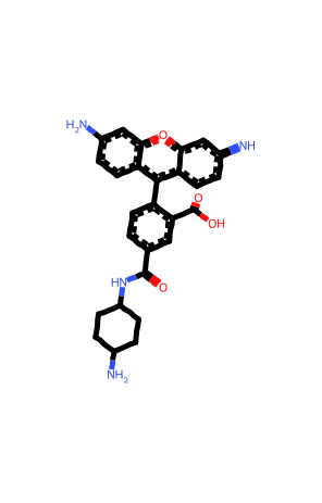 N=c1ccc2c(-c3ccc(C(=O)NC4CCC(N)CC4)cc3C(=O)O)c3ccc(N)cc3oc-2c1